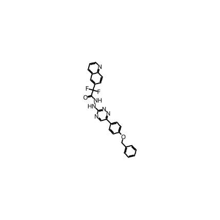 O=C(NNc1ncc(-c2ccc(OCc3ccccc3)cc2)nn1)C(F)(F)c1ccc2ncccc2c1